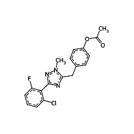 CC(=O)Oc1ccc(Cc2nc(-c3c(F)cccc3Cl)nn2C)cc1